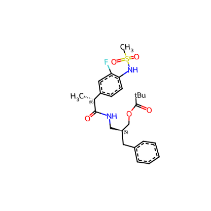 C[C@@H](C(=O)NC[C@@H](COC(=O)C(C)(C)C)Cc1ccccc1)c1ccc(NS(C)(=O)=O)c(F)c1